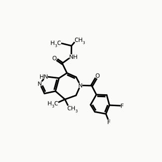 CC(C)NC(=O)C1=CN(C(=O)c2ccc(F)c(F)c2)CC(C)(C)c2cn[nH]c21